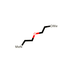 CNCCOCCOC